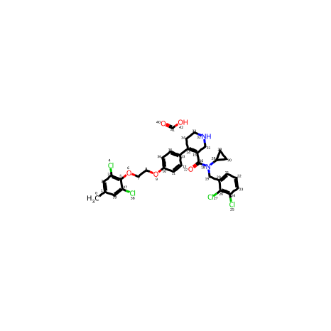 Cc1cc(Cl)c(OCCOc2ccc(C3=C(C(=O)N(Cc4cccc(Cl)c4Cl)C4CC4)CNCC3)cc2)c(Cl)c1.O=CO